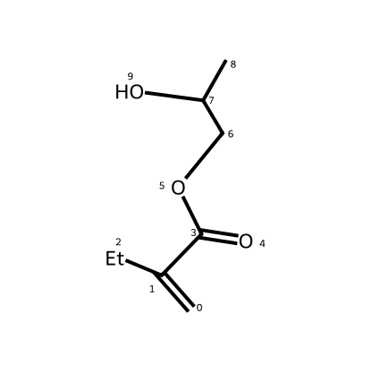 C=C(CC)C(=O)OCC(C)O